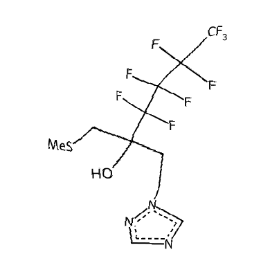 CSCC(O)(Cn1cncn1)C(F)(F)C(F)(F)C(F)(F)C(F)(F)F